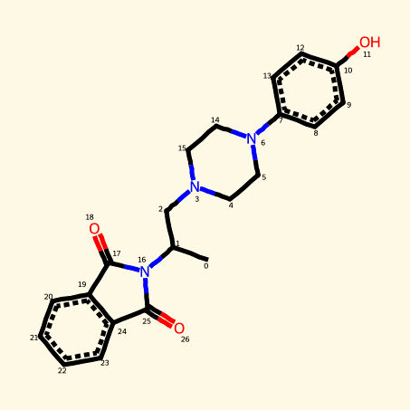 CC(CN1CCN(c2ccc(O)cc2)CC1)N1C(=O)c2ccccc2C1=O